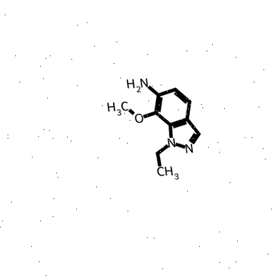 CCn1ncc2ccc(N)c(OC)c21